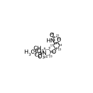 CC(C)(C)OC(=O)N1CCC(Oc2ccc3c(c2)NC(=O)CO3)CC1